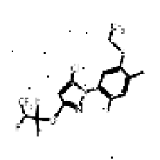 Cc1cc(F)c(-n2nc(OC(F)(F)C(F)C(F)(F)F)cc2Cl)cc1SCC(F)(F)F